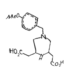 COc1ccc(CN2CC(CC(=O)O)NC(CC(=O)O)C2)cc1